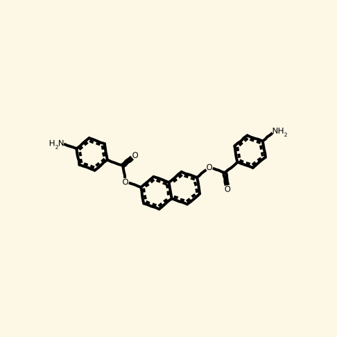 Nc1ccc(C(=O)Oc2ccc3ccc(OC(=O)c4ccc(N)cc4)cc3c2)cc1